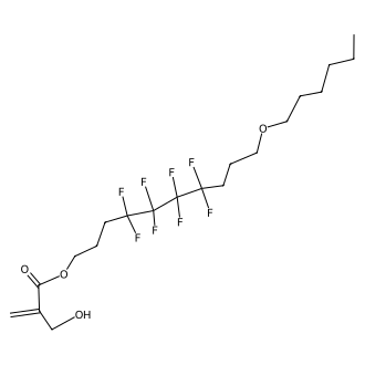 C=C(CO)C(=O)OCCCC(F)(F)C(F)(F)C(F)(F)C(F)(F)CCCOCCCCCC